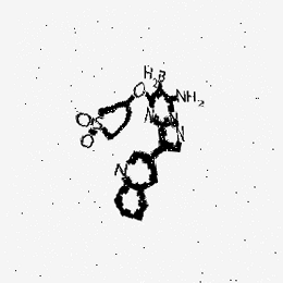 Bc1c(OC2CCS(=O)(=O)CC2)nc2c(-c3cnc4ccccc4c3)cnn2c1N